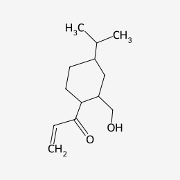 C=CC(=O)C1CCC(C(C)C)CC1CO